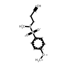 C#CCCN(C)S(=O)(=O)c1ccc(OC)cc1